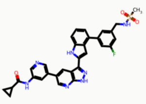 CS(=O)(=O)NCc1cc(F)cc(-c2cccc3[nH]c(-c4n[nH]c5ncc(-c6cncc(NC(=O)C7CC7)c6)cc45)cc23)c1